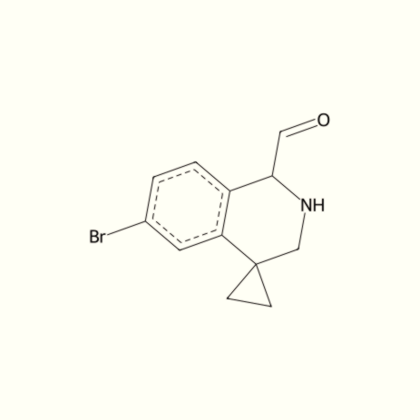 O=CC1NCC2(CC2)c2cc(Br)ccc21